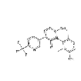 Cc1ccc(O)c(C)c1-n1c(N)ccc(-c2ccc(C(F)(F)F)nc2)c1=O